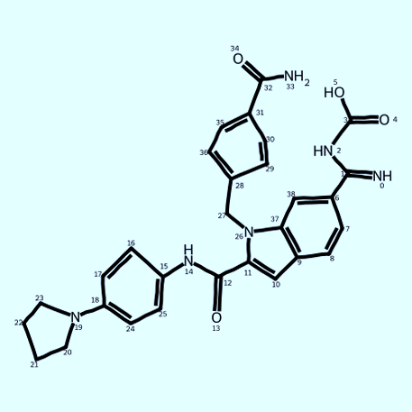 N=C(NC(=O)O)c1ccc2cc(C(=O)Nc3ccc(N4CCCC4)cc3)n(Cc3ccc(C(N)=O)cc3)c2c1